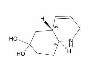 OC1(O)CC[C@@H]2NCC=C[C@H]2C1